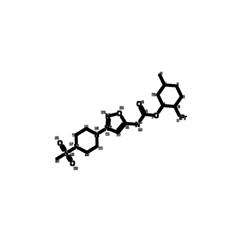 CC1CCC(C(C)C)C(OC(=O)[N-]c2c[n+](N3CCN(S(C)(=O)=O)CC3)no2)C1